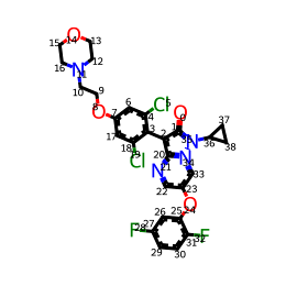 O=c1c(-c2c(Cl)cc(OCCN3CCOCC3)cc2Cl)c2ncc(Oc3cc(F)ccc3F)cn2n1C1CC1